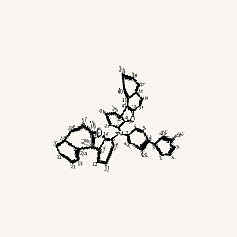 c1ccc(-c2ccc(N(c3cccc4c3oc3ccc5ccccc5c34)c3cccc4c3oc3ccc5ccccc5c34)cc2)cc1